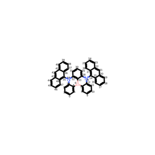 c1ccc2c(c1)B1c3ccccc3N(c3c4ccccc4cc4ccccc34)c3cccc(c31)N2c1c2ccccc2cc2ccccc12